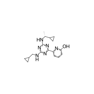 C[C@@H](Nc1nc(NCC2CC2)nc(-c2cccc(O)n2)n1)C1CC1